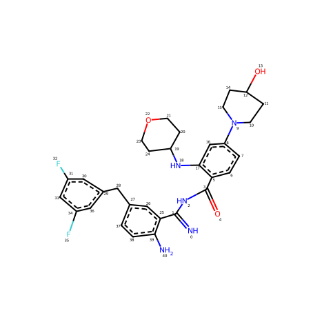 N=C(NC(=O)c1ccc(N2CCC(O)CC2)cc1NC1CCOCC1)c1cc(Cc2cc(F)cc(F)c2)ccc1N